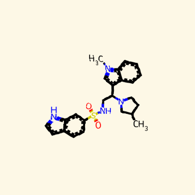 CC1CCN(C(CNS(=O)(=O)c2ccc3cc[nH]c3c2)c2cn(C)c3ccccc23)C1